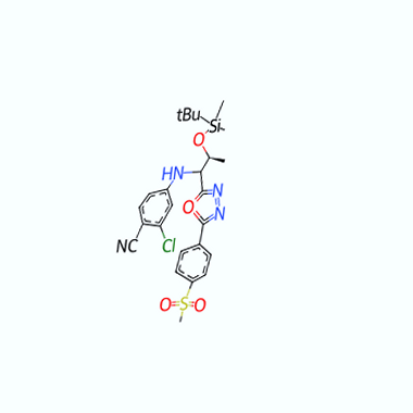 C[C@H](O[Si](C)(C)C(C)(C)C)C(Nc1ccc(C#N)c(Cl)c1)c1nnc(-c2ccc(S(C)(=O)=O)cc2)o1